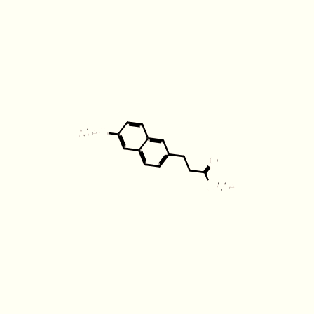 COC(=O)CCc1ccc2cc(OC)ccc2c1